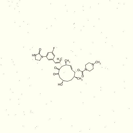 C/C(=C\c1cc(F)cc(N2CCNC2=O)c1)[C@H]1C(=O)C(=O)C[C@H](O)CC[C@H](C)[C@@H](OC(=O)N2CCN(C)CC2)/C=C/[C@@H]1C